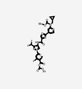 CC(C)OC(=O)OC(=O)c1ccc(-n2cc(NC(=O)c3coc(-c4ccnc(N(CC5CC5)C(=O)OC(C)(C)C)c4)n3)c(C(F)F)n2)cc1F